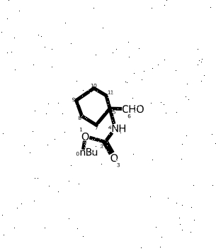 CCCCOC(=O)NC1(C=O)CCCCC1